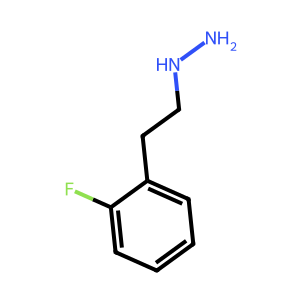 NNCCc1ccccc1F